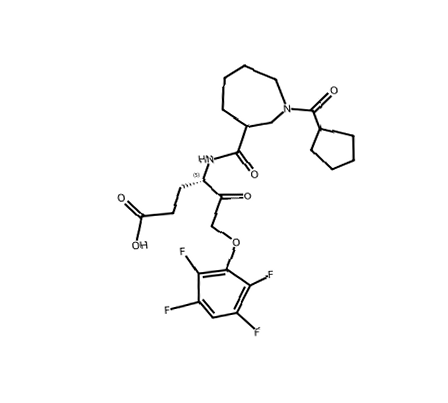 O=C(O)CC[C@H](NC(=O)C1CCCCN(C(=O)C2CCCC2)C1)C(=O)COc1c(F)c(F)cc(F)c1F